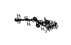 CCC(=O)NCCNC(=O)/N=C(/N)NCCC[C@@H](NC(=O)[C@H](c1ccccc1)N1Cc2cccc(OCCCNC(=O)CCCCCNC(=O)OC(C)(C)C)c2C1)C(=O)NCc1c(F)cc(O)cc1F